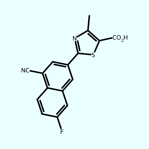 Cc1nc(-c2cc(C#N)c3ccc(F)cc3c2)sc1C(=O)O